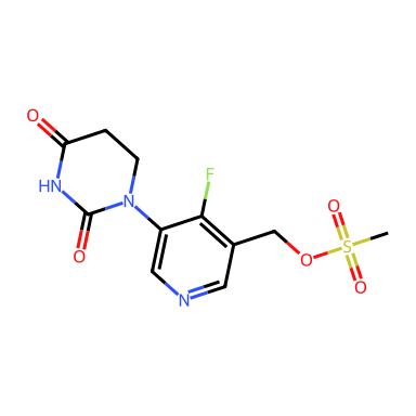 CS(=O)(=O)OCc1cncc(N2CCC(=O)NC2=O)c1F